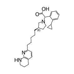 O=C(O)C(c1ccccc1C1CC1)N1CC[C@@H](CCCCCc2ccc3c(n2)NCCC3)C1